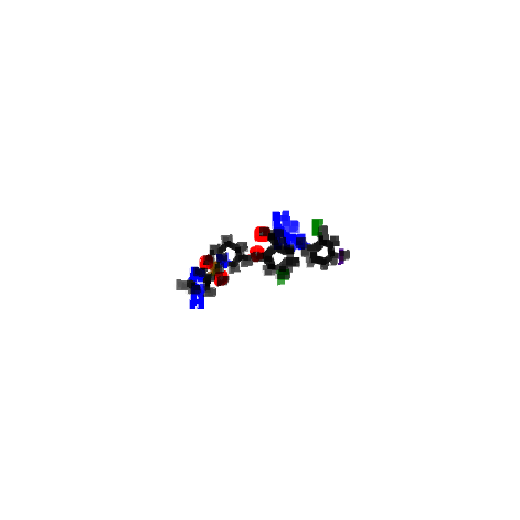 NC(=O)c1c(Nc2ccc(I)cc2F)cc(F)cc1OCC1CCCN(S(=O)(=O)c2c[nH]cn2)C1